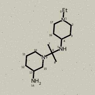 CCN1CCC(NC(C)(C)N2CCCC(N)C2)CC1